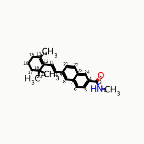 CNC(=O)c1ccc2cc(C=CC3=C(C)CCCC3(C)C)ccc2c1